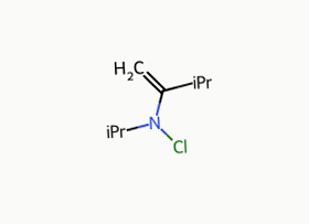 C=C(C(C)C)N(Cl)C(C)C